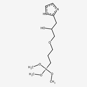 CO[Si](CCCOCC(O)Cc1ncc[nH]1)(OC)OC